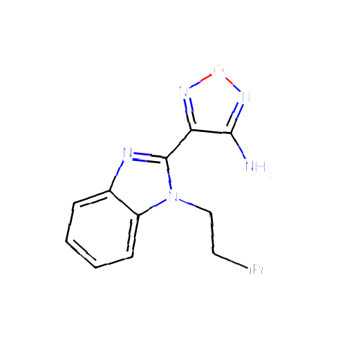 CC(C)CCn1c(-c2nonc2N)nc2ccccc21